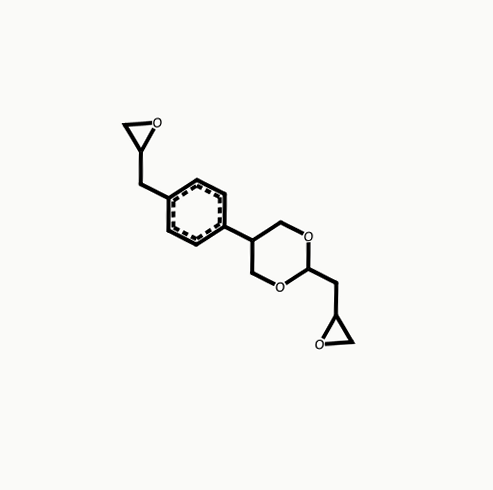 c1cc(C2COC(CC3CO3)OC2)ccc1CC1CO1